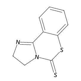 S=C1Sc2ccccc2C2=NCCN12